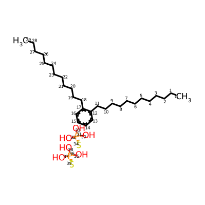 CCCCCCCCCCCCc1ccccc1CCCCCCCCCCCC.OP(O)(O)=S.OP(O)(O)=S